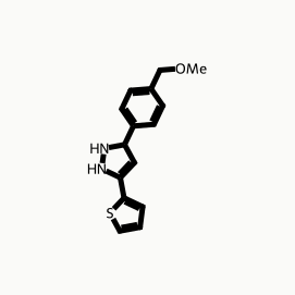 COCc1ccc(C2C=C(c3cccs3)NN2)cc1